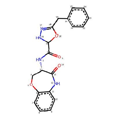 O=C(N[C@H]1COc2ccccc2NC1=O)C1NN=C(Cc2ccccc2)O1